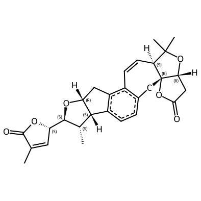 CC1=C[C@@H]([C@H]2O[C@@H]3Cc4c(ccc5c4C=C[C@H]4C(C)(C)O[C@@H]6CC(=O)O[C@@]64C5)[C@@H]3[C@@H]2C)OC1=O